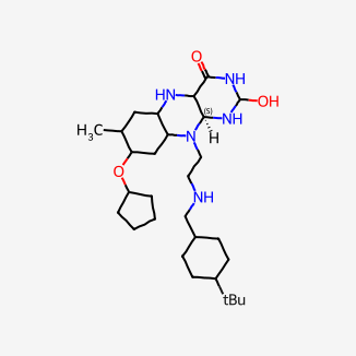 CC1CC2NC3C(=O)NC(O)N[C@H]3N(CCNCC3CCC(C(C)(C)C)CC3)C2CC1OC1CCCC1